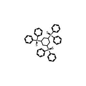 S=P(c1ccccc1)(c1ccccc1)C1CC(P(=S)(c2ccccc2)c2ccccc2)CC(P(=S)(c2ccccc2)c2ccccc2)C1